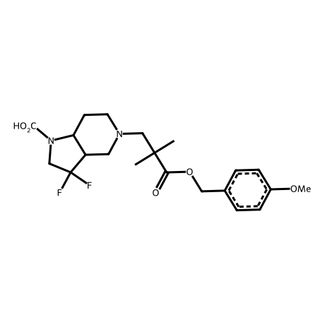 COc1ccc(COC(=O)C(C)(C)CN2CCC3C(C2)C(F)(F)CN3C(=O)O)cc1